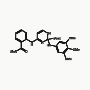 CCCCCC1(Nc2cc(OC)c(OC)c(OC)c2)N=C(Nc2ccccc2C(=O)NC)C=CN1